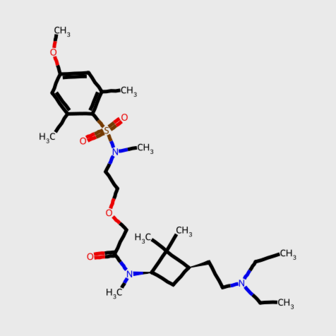 CCN(CC)CC[C@H]1C[C@@H](N(C)C(=O)COCCN(C)S(=O)(=O)c2c(C)cc(OC)cc2C)C1(C)C